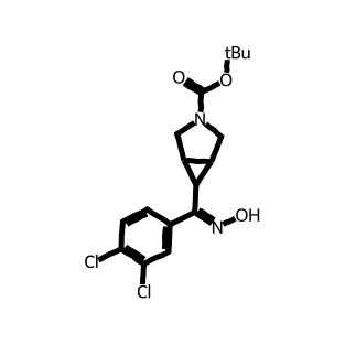 CC(C)(C)OC(=O)N1CC2C(C1)C2/C(=N\O)c1ccc(Cl)c(Cl)c1